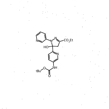 CCOC(=O)C1=NN(c2cccnc2)C(O)(c2ccc(NC(=O)OC(C)(C)C)cn2)C1